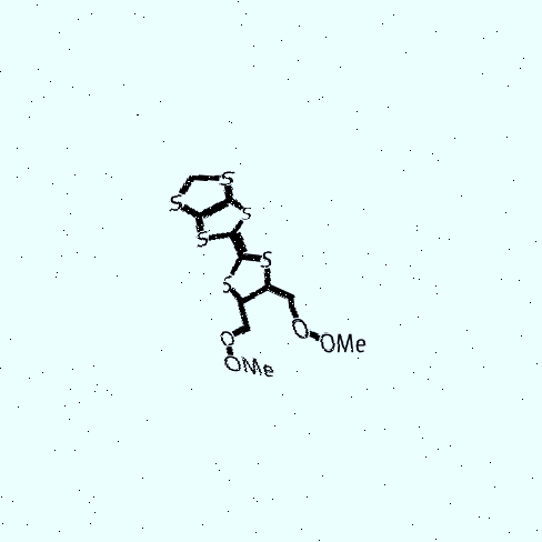 COOCC1SC(=C2SC3=C(SCS3)S2)SC1COOC